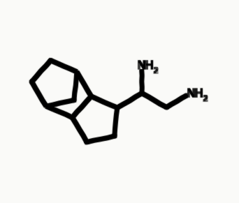 NCC(N)C1CCC2C3CCC(C3)C12